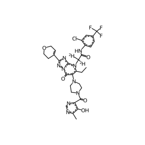 [2H]C([2H])(C(=O)Nc1ccc(C(F)(F)F)cc1Cl)n1c(CC)c(N2CCN(C(=O)c3ncnc(C)c3O)CC2)c(=O)n2nc(C3=CCOCC3)nc12